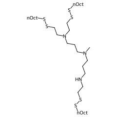 CCCCCCCCSSCCNCCCN(C)CCCN(CCSSCCCCCCCC)CCSSCCCCCCCC